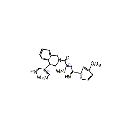 CN/C=C(\C=N)C1CN(C(=O)/C(=C/C(=N)c2cccc(OC)c2)NC)Cc2ccccc21